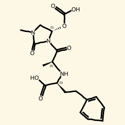 C[C@H](N[C@@H](CCc1ccccc1)C(=O)O)C(=O)N1C(=O)N(C)C[C@@H]1OC(=O)O